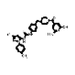 Cc1ccc(-n2nc(C(C)(C)C)cc2NC(=O)Nc2ccc(CC3CCN(C(=O)c4cc(C)nc(O)c4)CC3)cc2)cc1